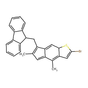 CC1=C(CC2c3ccccc3-c3ccccc32)C2=CC3SC(Br)=CC3=C(C)C2=C1